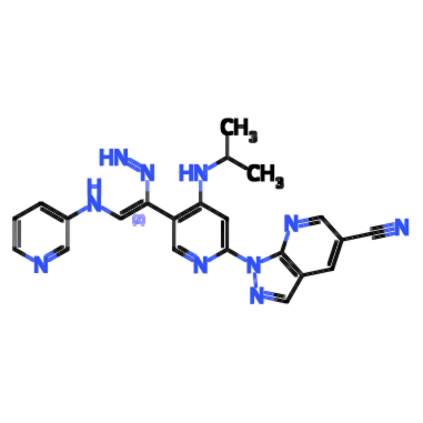 CC(C)Nc1cc(-n2ncc3cc(C#N)cnc32)ncc1/C(=C/Nc1cccnc1)N=N